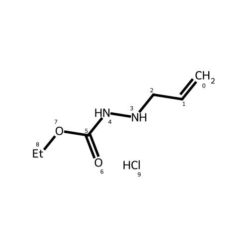 C=CCNNC(=O)OCC.Cl